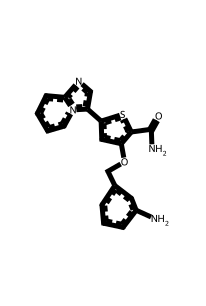 NC(=O)c1sc(-c2cnc3ccccn23)cc1OCc1cccc(N)c1